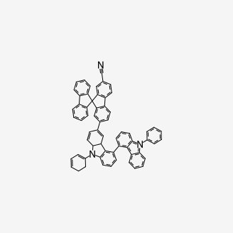 N#Cc1ccc2c(c1)C1(c3ccccc3-c3ccccc31)c1cc(C3=CC4c5c(-c6cccc7c6c6ccccc6n7-c6ccccc6)cccc5N(C5=CC=CCC5)C4C=C3)ccc1-2